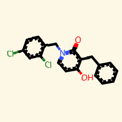 O=c1c(Cc2ccccc2)c(O)ccn1Cc1ccc(Cl)cc1Cl